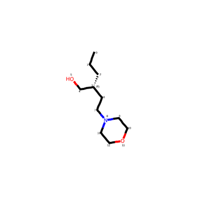 CCC[C@@H](CO)CCN1CCOCC1